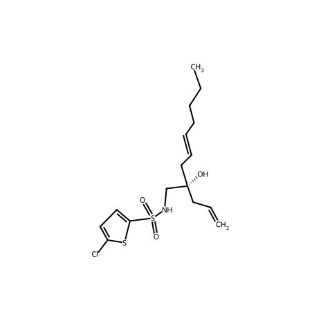 C=CC[C@](O)(CC=CCCCC)CNS(=O)(=O)c1ccc(Cl)s1